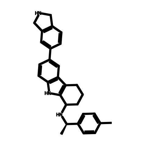 Cc1ccc([C@@H](C)NC2CCCc3c2[nH]c2ccc(-c4ccc5c(c4)CNC5)cc32)cc1